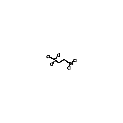 Cl[SH](Cl)CCS(Cl)(Cl)Cl